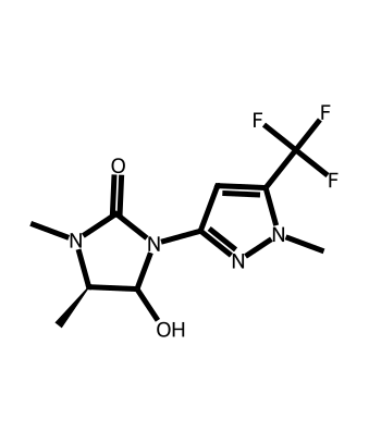 C[C@@H]1C(O)N(c2cc(C(F)(F)F)n(C)n2)C(=O)N1C